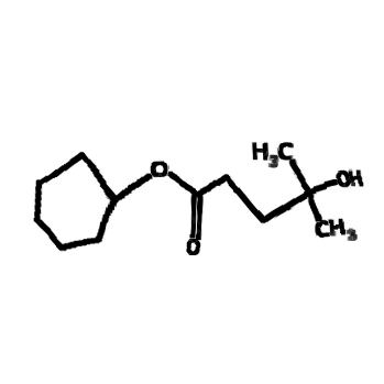 CC(C)(O)CCC(=O)OC1CCCCC1